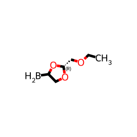 BC1CO[C@@H](COCC)O1